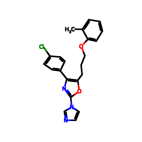 Cc1ccccc1OCCCc1oc(-n2ccnc2)nc1-c1ccc(Cl)cc1